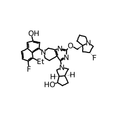 CCc1c(F)ccc2cc(O)cc(N3CCc4c(nc(OC[C@@]56CCCN5C[C@H](F)C6)nc4N4C[C@H]5CC[C@@H](O)[C@H]5C4)C3)c12